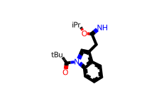 CC(C)OC(=N)Cc1cn(C(=O)C(C)(C)C)c2ccccc12